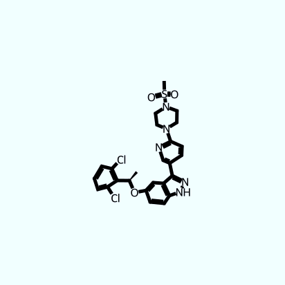 C[C@@H](Oc1ccc2[nH]nc(-c3ccc(N4CCN(S(C)(=O)=O)CC4)nc3)c2c1)c1c(Cl)cccc1Cl